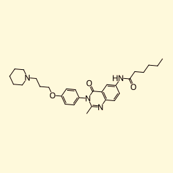 CCCCCC(=O)Nc1ccc2nc(C)n(-c3ccc(OCCCN4CCCCC4)cc3)c(=O)c2c1